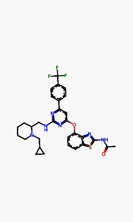 CC(=O)Nc1nc2c(Oc3cc(-c4ccc(C(F)(F)F)cc4)nc(NCC4CCCCN4CC4CC4)n3)cccc2s1